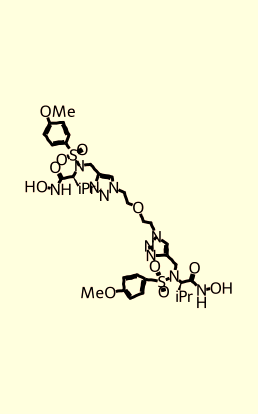 COc1ccc(S(=O)(=O)N(Cc2cn(CCOCCn3cc(CN([C@@H](C(=O)NO)C(C)C)S(=O)(=O)c4ccc(OC)cc4)nn3)nn2)[C@H](C(=O)NO)C(C)C)cc1